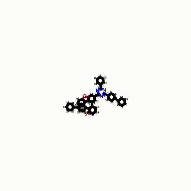 c1ccc(-c2ccc(-c3nc(-c4ccccc4)nc(-c4cc(-c5cccc6sc7cc(-c8ccccc8)ccc7c56)c5c(c4)oc4ccccc45)n3)cc2)cc1